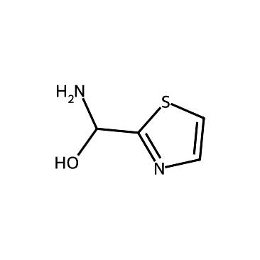 NC(O)c1nccs1